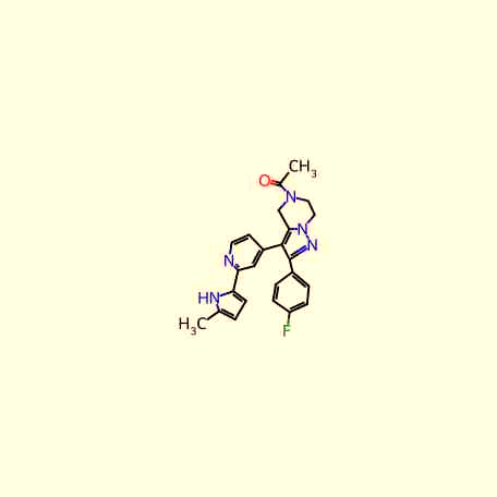 CC(=O)N1CCn2nc(-c3ccc(F)cc3)c(-c3ccnc(-c4ccc(C)[nH]4)c3)c2C1